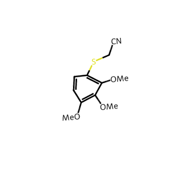 COc1ccc(SCC#N)c(OC)c1OC